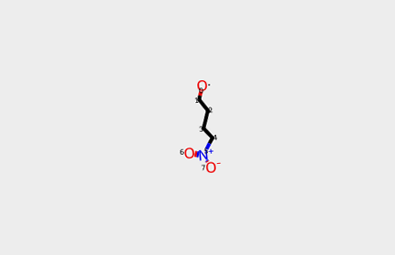 [O]CCCC[N+](=O)[O-]